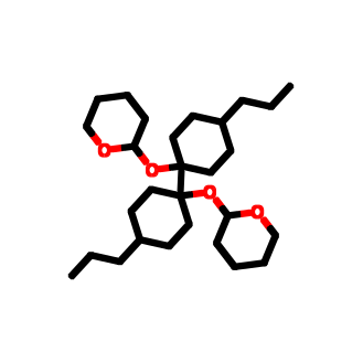 CCCC1CCC(OC2CCCCO2)(C2(OC3CCCCO3)CCC(CCC)CC2)CC1